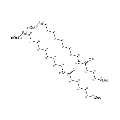 CCCCCCCC/C=C\CCCCCCCCOC(=O)CCCCCCCCCCCCC.CCCCCCCC/C=C\CCCCCCCCOC(=O)CCCCCCCCCCCCCCC